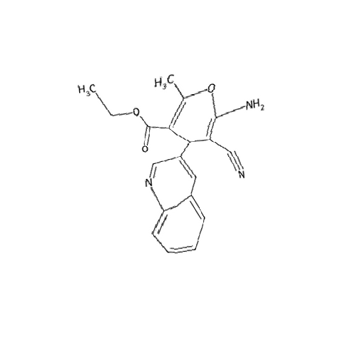 CCOC(=O)C1=C(C)OC(N)=C(C#N)C1c1cnc2ccccc2c1